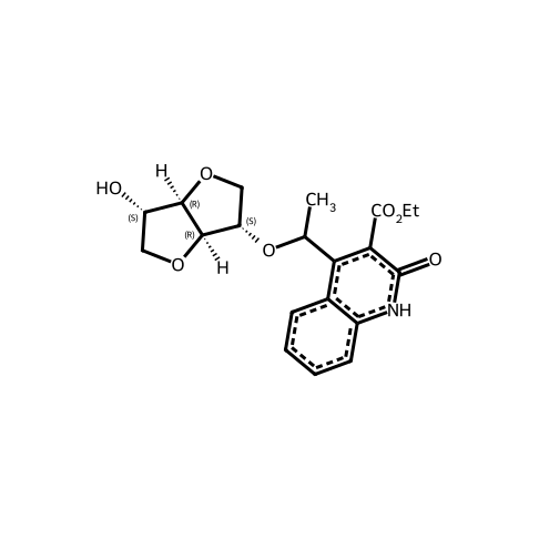 CCOC(=O)c1c(C(C)O[C@H]2CO[C@H]3[C@@H]2OC[C@@H]3O)c2ccccc2[nH]c1=O